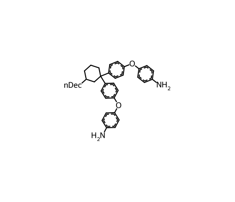 CCCCCCCCCCC1CCCC(c2ccc(Oc3ccc(N)cc3)cc2)(c2ccc(Oc3ccc(N)cc3)cc2)C1